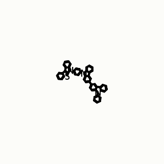 c1ccc(-n2c3ccccc3c3cc(-c4ccc5c(c4)c4ccccc4n5-c4ccc(-n5c6ccccc6c6c7ccccc7sc65)cc4)ccc32)cc1